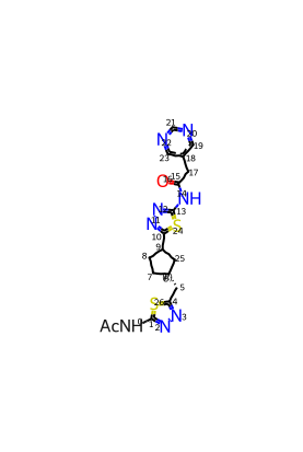 CC(=O)Nc1nnc(C[C@@H]2CCC(c3nnc(NC(=O)Cc4cncnc4)s3)C2)s1